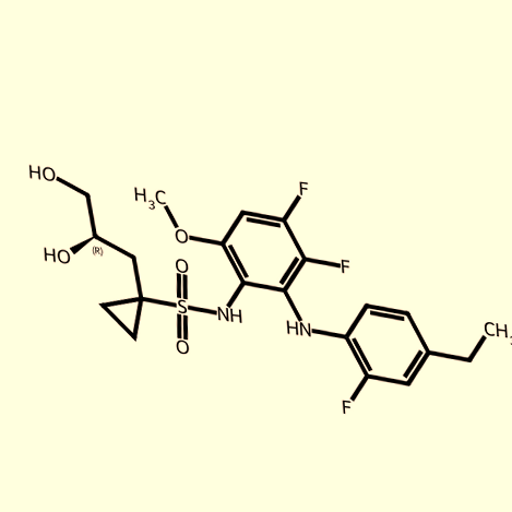 CCc1ccc(Nc2c(F)c(F)cc(OC)c2NS(=O)(=O)C2(C[C@@H](O)CO)CC2)c(F)c1